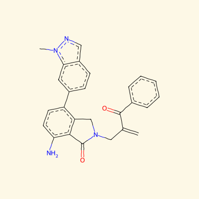 C=C(CN1Cc2c(-c3ccc4cnn(C)c4c3)ccc(N)c2C1=O)C(=O)c1ccccc1